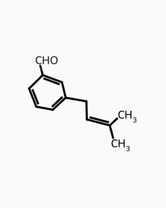 CC(C)=CCc1cccc(C=O)c1